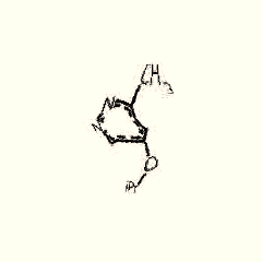 Cc1cc(OC(C)C)cnn1